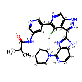 CC(C)C(=O)Nc1cncc(-c2ncc3[nH]nc(-c4nc5c(N6CCCCC6)nccc5[nH]4)c3c2F)c1